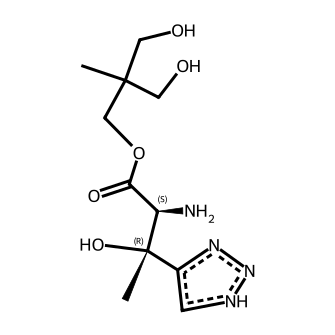 CC(CO)(CO)COC(=O)[C@@H](N)[C@@](C)(O)c1c[nH]nn1